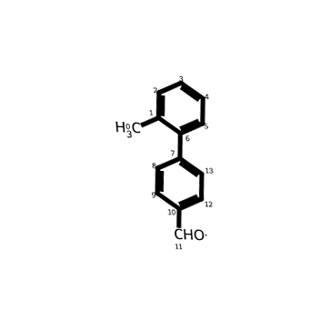 Cc1ccccc1-c1ccc([C]=O)cc1